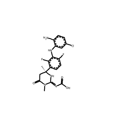 CN1C(=O)C[C@@](C)(c2ccc(F)c(Nc3cc(Cl)ccc3N)c2F)N/C1=N\C(=O)O